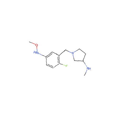 CNC1CCN(Cc2cc(NOC)ccc2F)C1